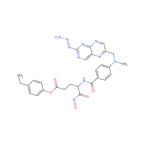 CCc1ccc(OC(=O)CCC(NC(=O)c2ccc(N(C)Cc3cnc4nc(N=NN)ncc4n3)cc2)C(=O)N=O)cc1